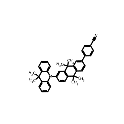 CC1(C)c2ccccc2N(c2ccc3c(c2)C(C)(C)c2cc(-c4ccc(C#N)cc4)ccc2C3(C)C)c2ccccc21